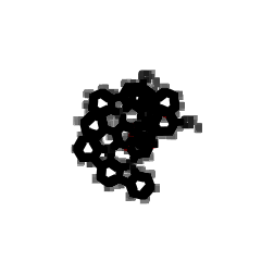 N#Cc1cc(-n2c3ccccc3c3ccc4c5ccccc5n(-c5ccccc5)c4c32)c(-c2ccccc2)c(-n2c3ccccc3c3ccc4c5ccccc5n(-c5ccccc5)c4c32)c1-n1c2ccc(C(F)(F)F)cc2c2cc(C(F)(F)F)ccc21